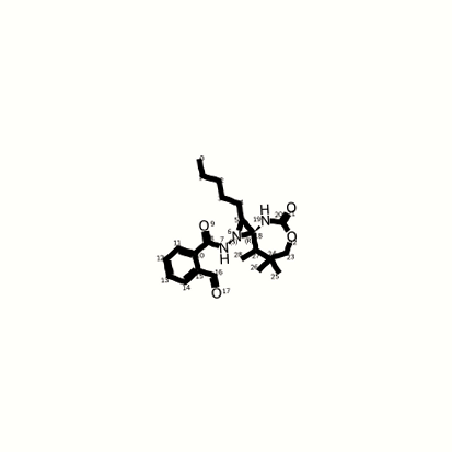 CCCCCC1[N@@](NC(=O)c2ccccc2C=O)[C@@]12NC(=O)OCC(C)(C)C2C